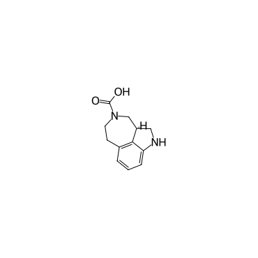 O=C(O)N1CCc2cccc3c2[C@H](CN3)C1